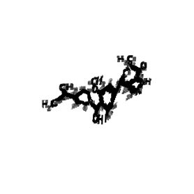 COc1cc(-c2cn(C)c(=O)c3[nH]ncc23)cc(F)c1C(O)N1CCC(C(C)C)CC1